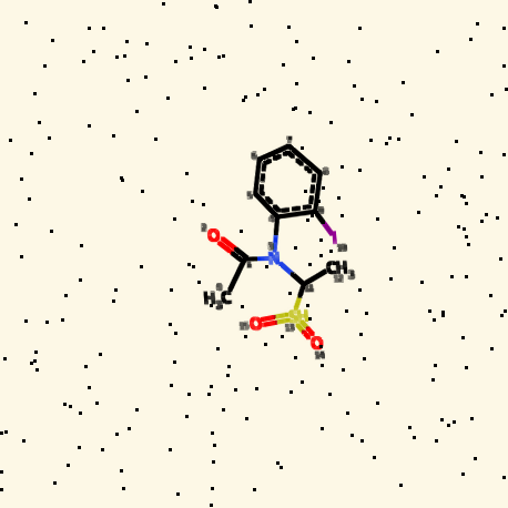 CC(=O)N(c1ccccc1I)C(C)[SH](=O)=O